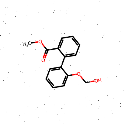 COC(=O)c1ccccc1-c1ccccc1OCO